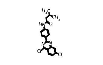 CC(C)CC(=O)Nc1ccc(-c2nc(Cl)c3ccc(Cl)cc3n2)cc1